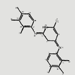 CCC1=CC(=Nc2ccc(C)c(C)c2C)CC(=Nc2ccc(C)c(C)c2C)N1